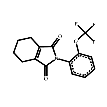 O=C1C2=C(CCCC2)C(=O)N1c1ccccc1OC(F)(F)F